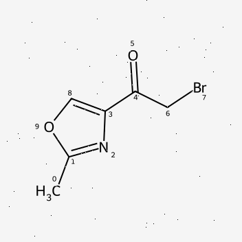 Cc1nc(C(=O)CBr)co1